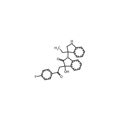 CCC1(N2C(=O)C(O)(CC(=O)c3ccc(F)cc3)c3ccccc32)CNc2ccccc21